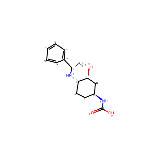 C[C@H](N[C@H]1CC[C@H](NC(=O)O)C[C@@H]1O)c1ccccc1